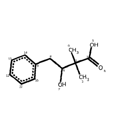 CC(C)(C(=O)O)C(O)Cc1ccccc1